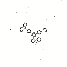 CC1(C)c2ccccc2-c2c(-c3nc(-c4ccc(-c5ccccc5)cc4)nc(-c4ccc(-n5c6ccccc6c6ccccc65)cc4)n3)cccc21